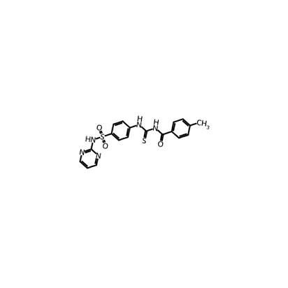 Cc1ccc(C(=O)NC(=S)Nc2ccc(S(=O)(=O)Nc3ncccn3)cc2)cc1